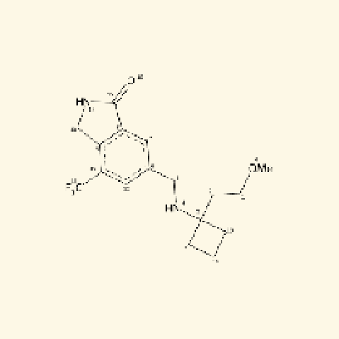 COCCC1(NCc2cc3c(c(C(F)(F)F)c2)CNC3=O)CCC1